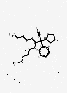 CCCCCCC(CCCCC)C(C#N)(c1ccccc1)C1CCCC1